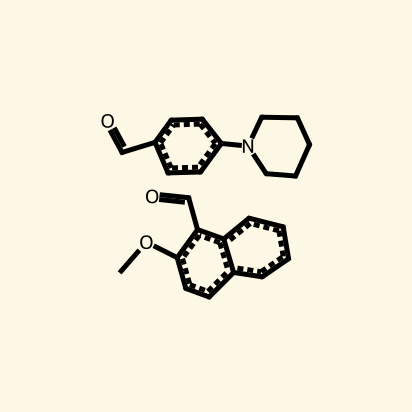 COc1ccc2ccccc2c1C=O.O=Cc1ccc(N2CCCCC2)cc1